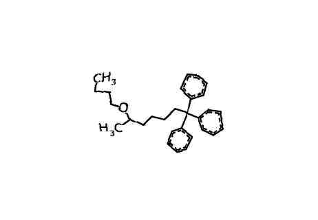 CCCCOC(C)CCCCC(c1ccccc1)(c1ccccc1)c1ccccc1